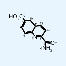 NC(=O)C1=NC2=CC=C(C(=O)O)CC2C=C1